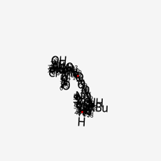 C=CC(=O)N1CCN(c2nc(O[C@H](C)CN3CCC(OCCOCCOCCOCC(=O)N[C@H](C(=O)N4CCC[C@H]4C(=O)N[C@@H](C)c4ccc(-c5scnc5C)cc4)C(C)(C)C)CC3)nc3c(F)c(-c4cc(O)cc5ccccc45)c(Cl)cc23)CC1